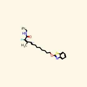 CC(/C=C/CCCCCCCOc1nc2ccccc2s1)=C(\F)C(=O)NCC(C)C